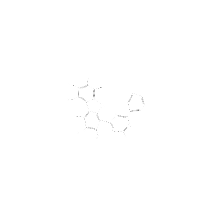 [2H]c1c([2H])c([2H])c2c(sc3c(-c4nc(Cl)nc(-c5ccccc5)n4)c([2H])c([2H])c([2H])c32)c1[2H]